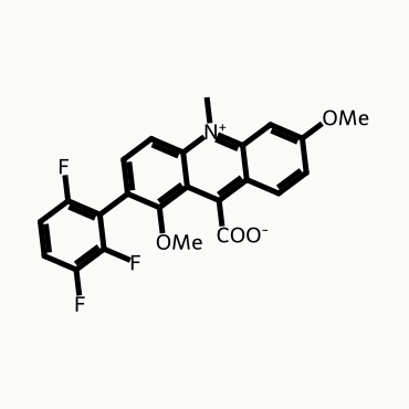 COc1ccc2c(C(=O)[O-])c3c(OC)c(-c4c(F)ccc(F)c4F)ccc3[n+](C)c2c1